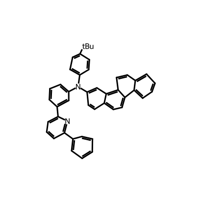 CC(C)(C)c1ccc(N(c2cccc(-c3cccc(-c4ccccc4)n3)c2)c2ccc3ccc4c5ccccc5ccc4c3c2)cc1